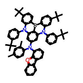 Cc1ccc(N(c2cc3c4c(c2)N(c2cccc(C(C)(C)C)c2)c2cc(C(C)(C)C)ccc2B4c2ccc(C(C)(C)C)cc2N3c2cccc(C(C)(C)C)c2)c2cccc3c2oc2ccccc23)c(C)c1